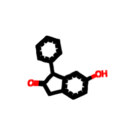 O=C1Cc2ccc(O)cc2C1c1ccccc1